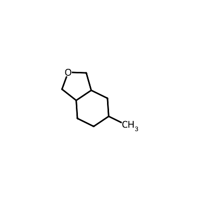 CC1CCC2COCC2C1